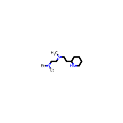 CCN(CC)CCN(C)CCC1CCCCN1